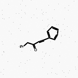 CC(C)CC(=O)C=Cc1ccccc1